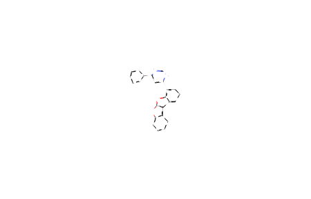 c1ccc(-c2cc(-c3cccc4c3oc3oc5ccccc5c34)ncn2)cc1